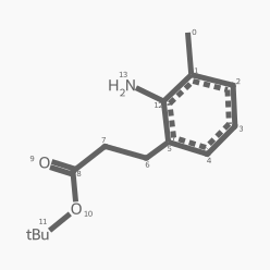 Cc1cccc(CCC(=O)OC(C)(C)C)c1N